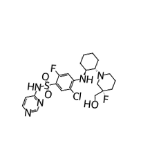 O=S(=O)(Nc1ccncn1)c1cc(Cl)c(N[C@H]2CCCC[C@@H]2N2CCC[C@@](F)(CO)C2)cc1F